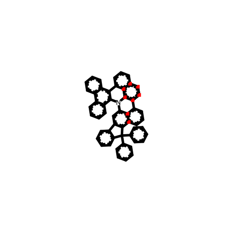 c1ccc(-c2ccccc2N(c2ccc3c(c2)-c2ccccc2C3(c2ccccc2)c2ccccc2)c2c(-c3cccc4ccccc34)c3ccccc3c3ccccc23)cc1